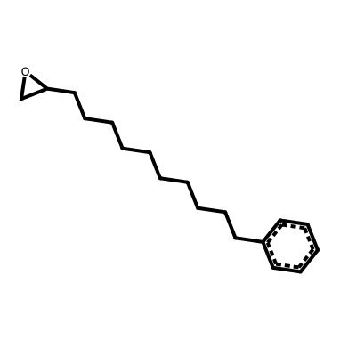 c1ccc(CCCCCCCCCCC2CO2)cc1